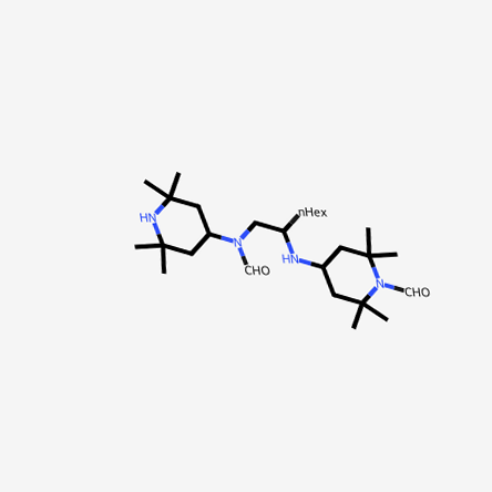 CCCCCCC(CN(C=O)C1CC(C)(C)NC(C)(C)C1)NC1CC(C)(C)N(C=O)C(C)(C)C1